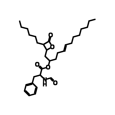 CCCCCCCC=CCCC(CC1OC(=O)C1CCCCCC)OC(=O)C(Cc1ccccc1)NC=O